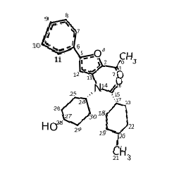 CC(=O)c1oc(-c2ccccc2)cc1N(C(=O)[C@H]1CC[C@H](C)CC1)[C@H]1CC[C@@H](O)CC1